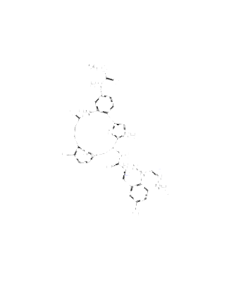 COC(=O)Nc1ccc2c(c1)NC(=O)CCc1nc(ccc1F)CC(NC(=O)/C=C/c1cc(Cl)ccc1N(N)/C=N\N)c1nc-2c[nH]1